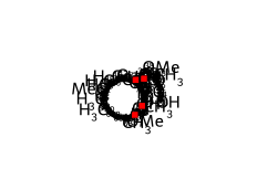 CO[C@H]1C[C@@H]2CC[C@@H](C)[C@@](O)(O2)C(=O)C(=O)N2CCC[C@@H]3C(C[C@@H]4CC[C@@H](OP(C)(=O)OCCOCCO)[C@H](OC)C4)[C@H](CC(=O)C(C)/C=C(\C)[C@@H](O)[C@@H](OC)C(=O)[C@H](C)C[C@H](C)/C=C/C=C/C=C/1C)OC(=O)C32